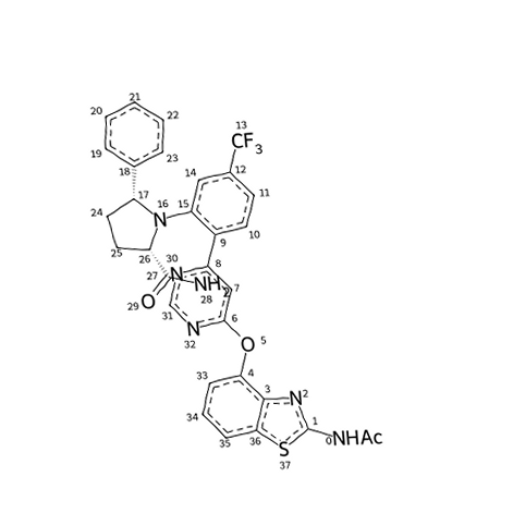 CC(=O)Nc1nc2c(Oc3cc(-c4ccc(C(F)(F)F)cc4N4[C@@H](c5ccccc5)CC[C@H]4C(N)=O)ncn3)cccc2s1